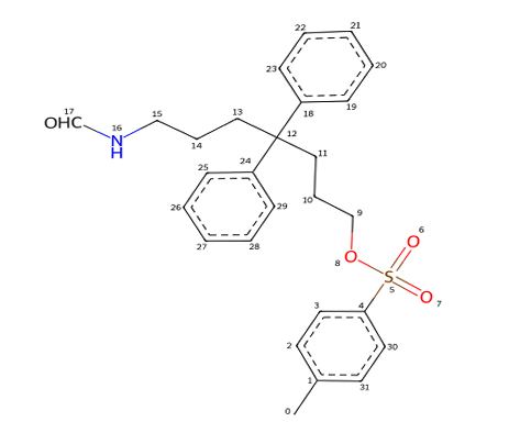 Cc1ccc(S(=O)(=O)OCCCC(CCCNC=O)(c2ccccc2)c2ccccc2)cc1